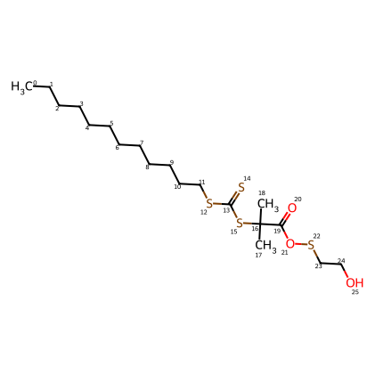 CCCCCCCCCCCCSC(=S)SC(C)(C)C(=O)OSCCO